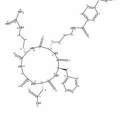 [N-]=[N+]=Nc1ccc(C(=O)NCCCC[C@@H]2NC(=O)[C@@H](Cc3ccccc3)NC(=O)[C@H](CC(=O)O)NC(=O)CNC(=O)[C@H](CCCNC(=N)N)NC2=O)cc1